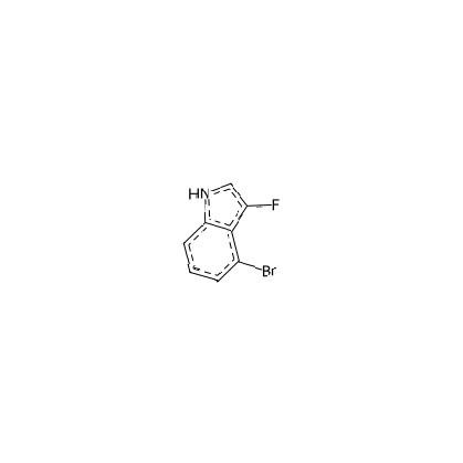 Fc1c[nH]c2cccc(Br)c12